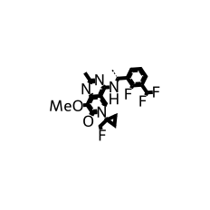 COc1c(=O)n(C2(CF)CC2)cc2c(N[C@H](C)c3cccc(C(F)F)c3F)nc(C)nc12